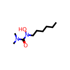 CCCCCCN(O)C(=O)N(C)C